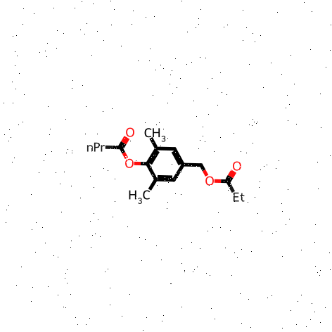 CCCC(=O)Oc1c(C)cc(COC(=O)CC)cc1C